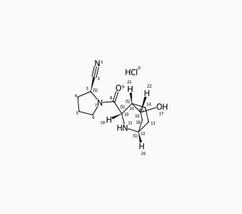 Cl.N#C[C@@H]1CCCN1C(=O)[C@H]1N[C@H]2CC[C@@H]1[C@H](O)C2